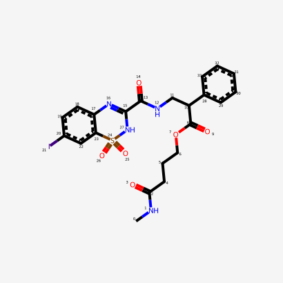 CNC(=O)CCCOC(=O)C(CNC(=O)C1=Nc2ccc(I)cc2S(=O)(=O)N1)c1ccccc1